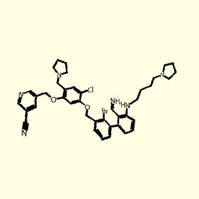 N#Cc1cncc(COc2cc(OCc3cccc(-c4cccc(NCCCCN5CCCC5)c4C=N)c3Br)c(Cl)cc2CN2CCCC2)c1